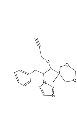 C#CCOC(C(Cc1ccccc1)n1cncn1)C1(C)COCOC1